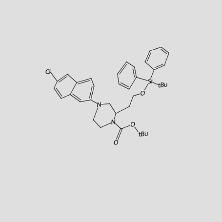 CC(C)(C)OC(=O)N1CCN(c2ccc3cc(Cl)ccc3c2)CC1CCO[Si](c1ccccc1)(c1ccccc1)C(C)(C)C